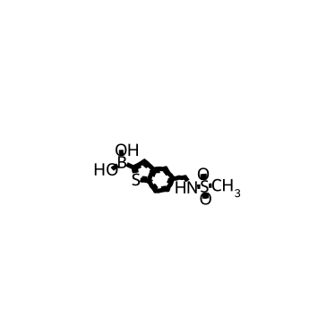 CS(=O)(=O)NCc1ccc2sc(B(O)O)cc2c1